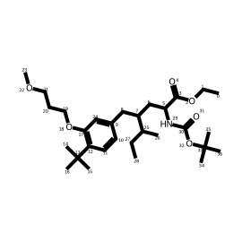 CCOC(=O)C(CC(Cc1ccc(C(C)(C)C)c(OCCCOC)c1)C(C)CC)NC(=O)OC(C)(C)C